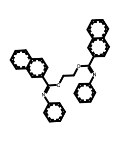 c1ccc(/N=C(\OCCO/C(=N\c2ccccc2)c2ccc3ccccc3c2)c2ccc3ccccc3c2)cc1